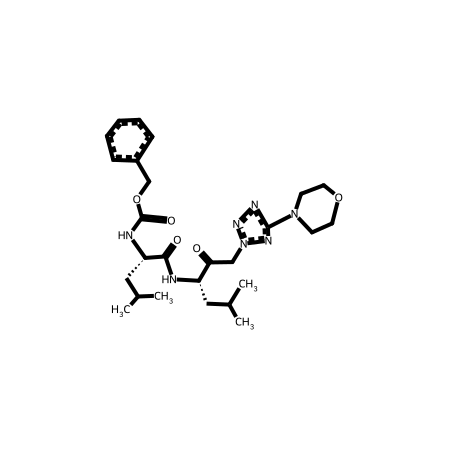 CC(C)C[C@H](NC(=O)[C@H](CC(C)C)NC(=O)OCc1ccccc1)C(=O)Cn1nnc(N2CCOCC2)n1